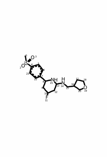 CS(=O)(=O)c1ccc(C2CC(F)CC(NCC3CCOC3)N2)cc1